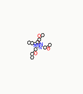 c1ccc2cc3c(cc2c1)c1ccccc1n3-c1cc2c(cc1-c1nc(-c3ccc4oc5ccccc5c4c3)nc(-c3ccc4oc5ccccc5c4c3)n1)oc1c3ccccc3ccc21